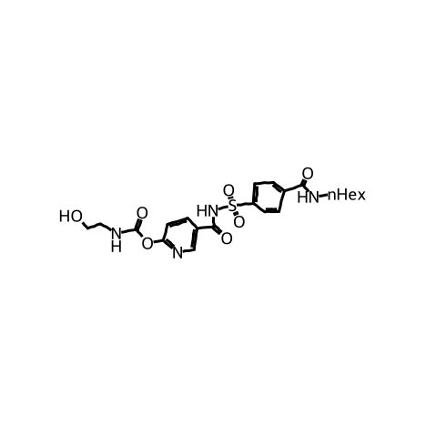 CCCCCCNC(=O)c1ccc(S(=O)(=O)NC(=O)c2ccc(OC(=O)NCCO)nc2)cc1